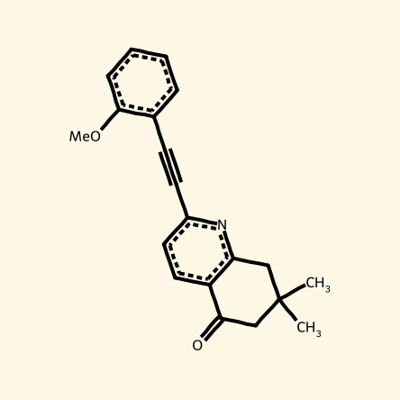 COc1ccccc1C#Cc1ccc2c(n1)CC(C)(C)CC2=O